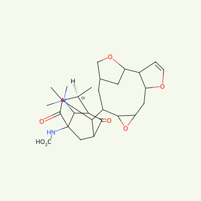 C[C@H]1C2C(=O)C3CC(NC(=O)O)(C(=O)C1(C)C3C1CC3COC(C3)C3C=COC3CC3OC31)C2N(C)C